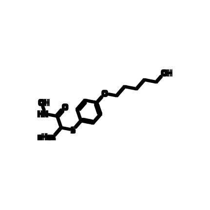 CCCCCCC(Sc1ccc(OCCCCCO)cc1)C(=O)NO